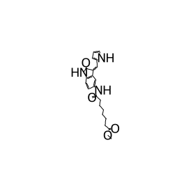 COC(=O)CCCCCCC(=O)Nc1ccc2c(c1)C(=Cc1ccc[nH]1)C(=O)N2